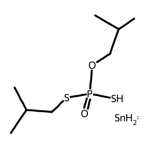 CC(C)COP(=O)(S)SCC(C)C.[SnH2]